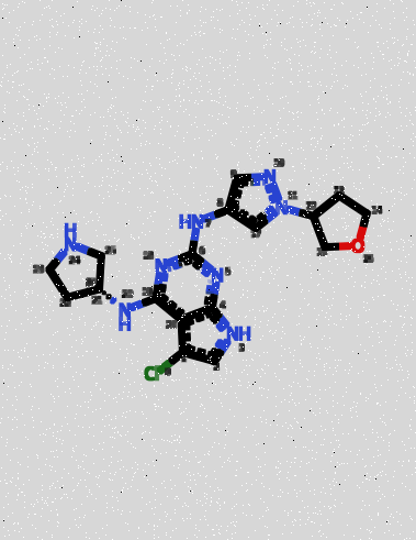 Clc1c[nH]c2nc(Nc3cnn(C4CCOC4)c3)nc(N[C@@H]3CCNC3)c12